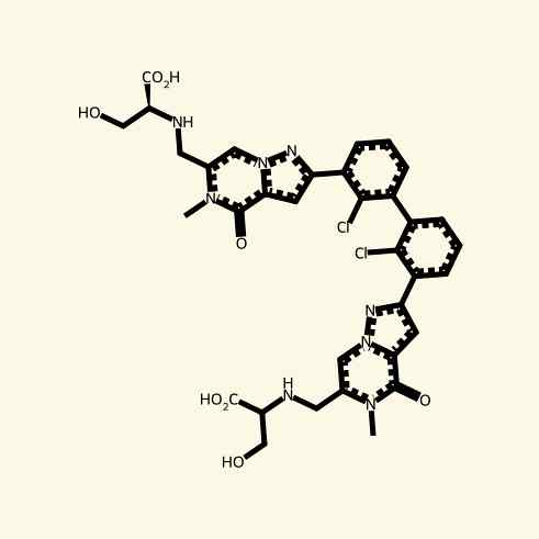 Cn1c(CNC(CO)C(=O)O)cn2nc(-c3cccc(-c4cccc(-c5cc6c(=O)n(C)c(CN[C@@H](CO)C(=O)O)cn6n5)c4Cl)c3Cl)cc2c1=O